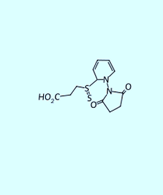 O=C(O)CCS(=S)C1C=CC=CN1N1C(=O)CCC1=O